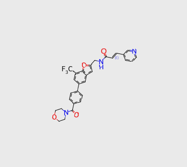 O=C(/C=C/c1cccnc1)NCc1cc2cc(-c3ccc(C(=O)N4CCOCC4)cc3)cc(C(F)(F)F)c2o1